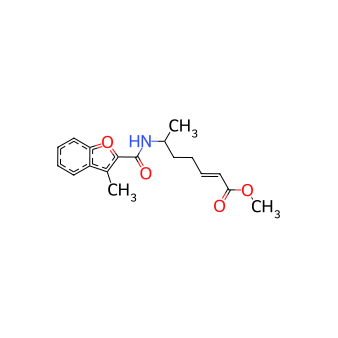 COC(=O)/C=C/CCC(C)NC(=O)c1oc2ccccc2c1C